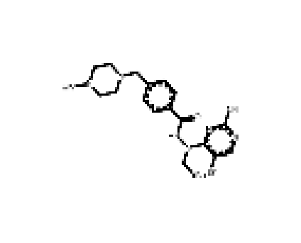 CCCN1CCN(Cc2ccc(C(=O)NN(CC(C)(C)C)c3nc(C#N)ncc3Br)cc2)CC1